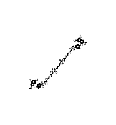 COc1cc(Cl)cc2c1C[C@H](N(C)C)[C@H]2Oc1ccc(S(=O)(=O)NCCOCCOCCNC(=O)NCCCCNC(=O)NCCOCCOCCNS(=O)(=O)c2ccc(O[C@H]3c4cc(Cl)cc(OC)c4C[C@@H]3N(C)C)c(C)c2)cc1C